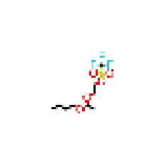 CCCCOC(C)OCCOS(=O)(=O)C(F)(F)F